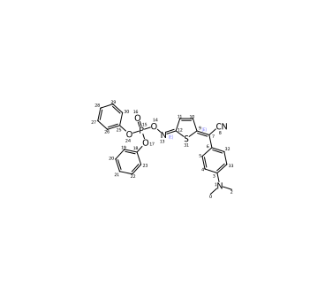 CN(C)c1ccc(/C(C#N)=C2C=C/C(=N\OP(=O)(Oc3ccccc3)Oc3ccccc3)S/2)cc1